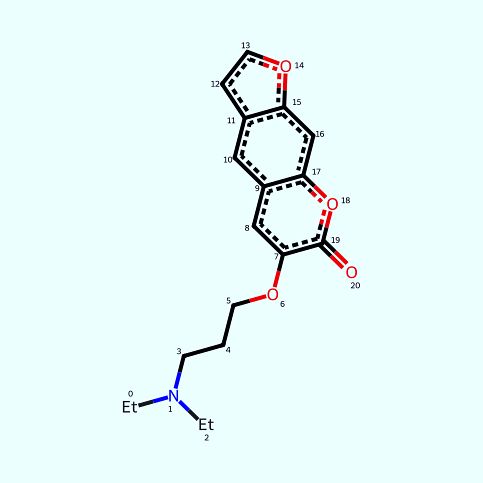 CCN(CC)CCCOc1cc2cc3ccoc3cc2oc1=O